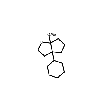 COC12CCCC1(C1CCCCC1)CCO2